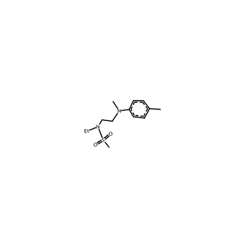 CCN(CCN(C)c1ccc(C)cc1)S(C)(=O)=O